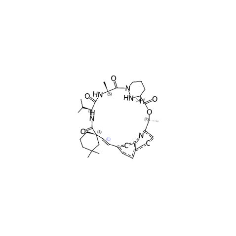 CC(C)[C@@H]1NC(=O)[C@@]2(/C=C/c3ccc4ccc(nc4c3)[C@@H](C)OC(=O)[C@@H]3CCCN(N3)C(=O)[C@H](C)NC1=O)CCCC(C)(C)C2